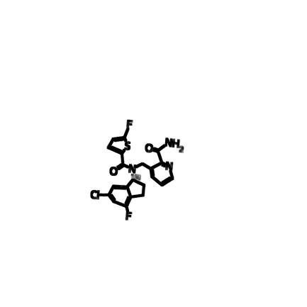 NC(=O)c1ncccc1CN(C(=O)c1ccc(F)s1)[C@@H]1CCc2c(F)cc(Cl)cc21